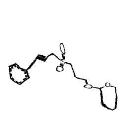 O=S(=O)(CC=Cc1ccccc1)CCCOC1CCCCO1